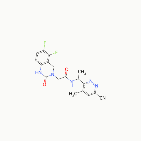 Cc1cc(C#N)nnc1C(C)NC(=O)CN1Cc2c(ccc(F)c2F)NC1=O